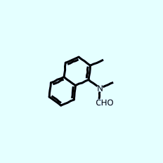 Cc1ccc2ccccc2c1N(C)C=O